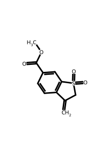 C=C1CS(=O)(=O)c2cc(C(=O)OC)ccc21